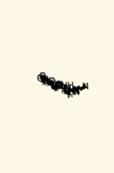 N#CCCn1cc(-c2nc(Nc3ccc4c(ccn4C(=O)CN4CCS(=O)(=O)CC4)c3)ncc2F)cn1